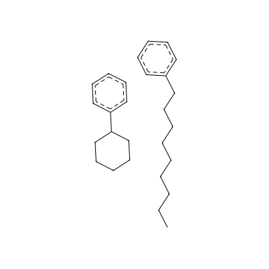 CCCCCCCCCc1ccccc1.c1ccc(C2CCCCC2)cc1